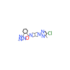 Cc1nc(N2CC3CN(C(=O)c4ccccc4-c4ncn(C)n4)CC3C2)ncc1Cl